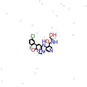 C[C@@H](CO)NC(=O)c1cnccc1Nc1cc(-c2cc(Cl)ccc2F)c(=O)n2c1N(C)CC2